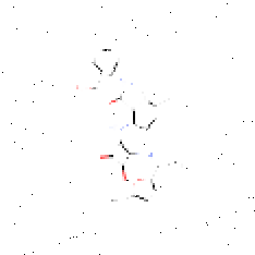 CCc1ccc([C@H](Nc2c(Nc3ccc(C)c4c3C(=O)N(c3ccccc3CO)C4)c(=O)c2=O)C(C)(C)C)o1